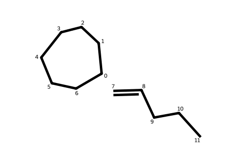 C1CCCCCC1.C=CCCC